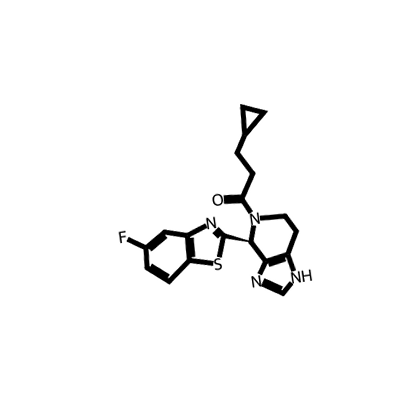 O=C(CCC1CC1)N1CCc2[nH]cnc2[C@H]1c1nc2cc(F)ccc2s1